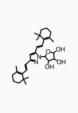 CC1=C(/C=C/c2cc(/C=C/C3=C(C)CCCC3(C)C)n(C3OC(O)C(O)C3O)n2)C(C)(C)CCC1